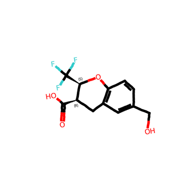 O=C(O)[C@@H]1Cc2cc(CO)ccc2O[C@@H]1C(F)(F)F